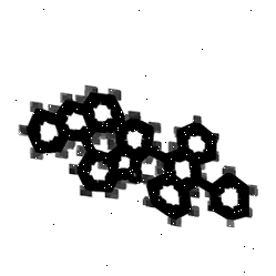 c1ccc(-c2c3ccccc3c(-c3cccc4c3oc3cccc(-c5c6ccccc6cc6ccccc56)c34)c3ccccc23)cc1